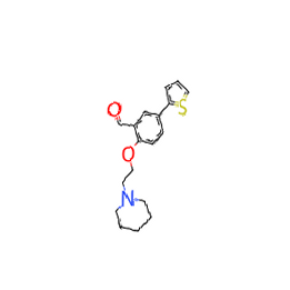 O=Cc1cc(-c2cccs2)ccc1OCCN1CCCCC1